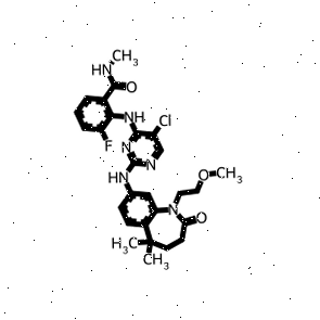 CNC(=O)c1cccc(F)c1Nc1nc(Nc2ccc3c(c2)N(CCOC)C(=O)CCC3(C)C)ncc1Cl